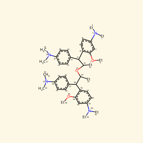 CCOc1cc(N(CC)CC)ccc1C(c1ccc(N(C)C)cc1)C(CC)OC(CC)C(c1ccc(N(C)C)cc1)c1ccc(N(CC)CC)cc1OCC